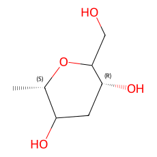 C[C@@H]1OC(CO)[C@H](O)CC1O